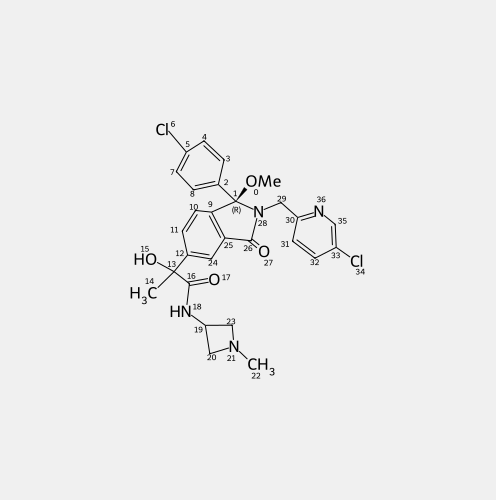 CO[C@]1(c2ccc(Cl)cc2)c2ccc(C(C)(O)C(=O)NC3CN(C)C3)cc2C(=O)N1Cc1ccc(Cl)cn1